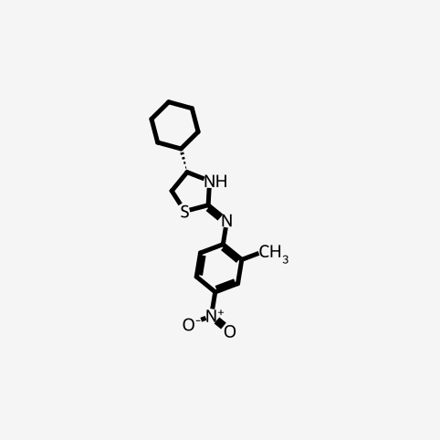 Cc1cc([N+](=O)[O-])ccc1/N=C1/N[C@@H](C2CCCCC2)CS1